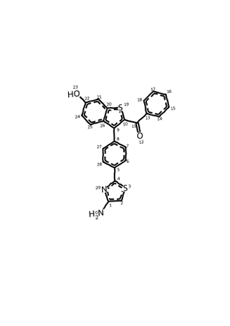 Nc1csc(-c2ccc(-c3c(C(=O)c4ccccc4)sc4cc(O)ccc34)cc2)n1